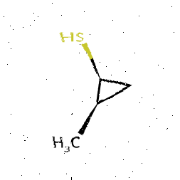 C[C@@H]1C[C@@H]1S